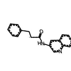 O=C([CH]Cc1ccccc1)Nc1cnc2ccccc2c1